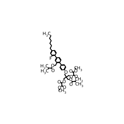 C=C(C)C(=O)OCc1cc(-c2ccc(CCCCCCC)cc2F)ccc1-c1ccc(OCC(COC(=O)C(=C)C)(COC(=O)C(=O)OC)COC(=O)C(=O)OC)cc1